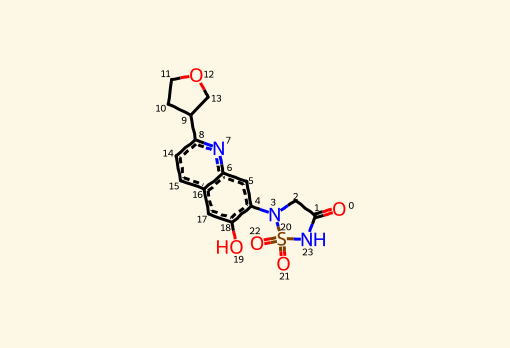 O=C1CN(c2cc3nc(C4CCOC4)ccc3cc2O)S(=O)(=O)N1